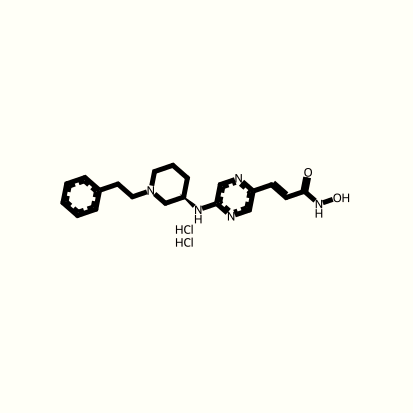 Cl.Cl.O=C(C=Cc1cnc(N[C@@H]2CCCN(CCc3ccccc3)C2)cn1)NO